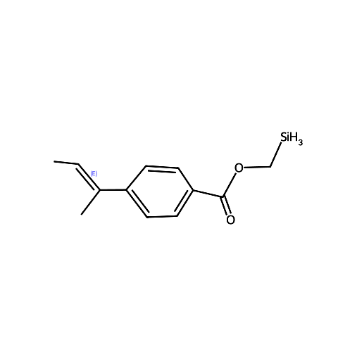 C/C=C(\C)c1ccc(C(=O)OC[SiH3])cc1